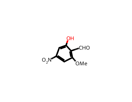 COc1cc([N+](=O)[O-])cc(O)c1C=O